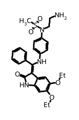 CCOc1cc2c(cc1OCC)C(=C(Nc1ccc(N(CCN)S(C)(=O)=O)cc1)c1ccccc1)C(=O)N2